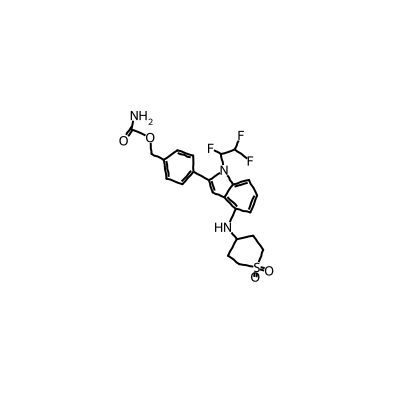 NC(=O)OCc1ccc(-c2cc3c(NC4CCS(=O)(=O)CC4)cccc3n2C(F)C(F)F)cc1